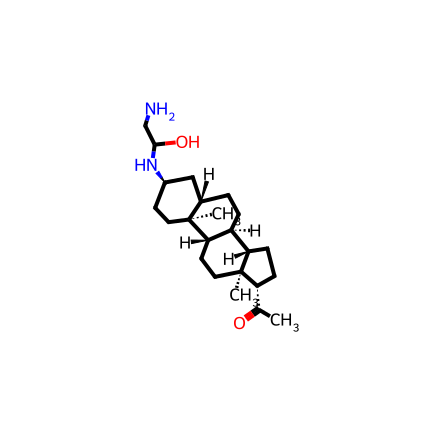 CC(=O)[C@H]1CC[C@H]2[C@@H]3CC[C@H]4C[C@H](NC(O)CN)CC[C@]4(C)[C@H]3CC[C@]12C